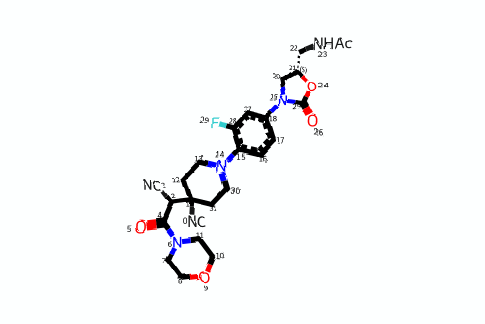 [C-]#[N+]C1(C(C#N)C(=O)N2CCOCC2)CCN(c2ccc(N3C[C@H](CNC(C)=O)OC3=O)cc2F)CC1